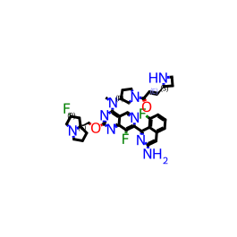 CN(c1nc(OC[C@@]23CCCN2C[C@H](F)C3)nc2c(F)c(-c3nc(N)cc4cccc(F)c34)ncc12)[C@@H]1CCN(C(=O)/C=C/[C@@H]2CCN2)C1